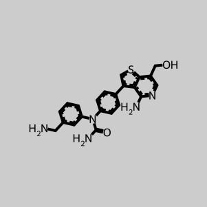 NCc1cccc(N(C(N)=O)c2ccc(-c3csc4c(CO)cnc(N)c34)cc2)c1